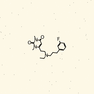 CCN(CCCc1cccc(F)c1)CCc1cc(=O)n(C)c(=O)n1C